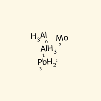 [AlH3].[AlH3].[Mo].[PbH2]